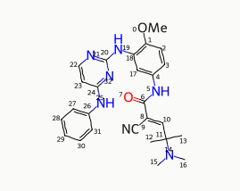 COc1ccc(NC(=O)C(C#N)=CC(C)(C)N(C)C)cc1Nc1nccc(Nc2ccccc2)n1